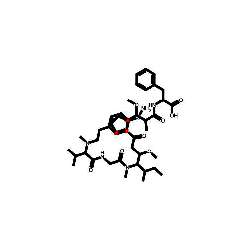 CCC(C)C(C(CC(=O)N1CCCC1C(OC)C(C)C(=O)NC(Cc1ccccc1)C(=O)O)OC)N(C)C(=O)CNC(=O)C(C(C)C)N(C)CCc1ccc(ON)cc1